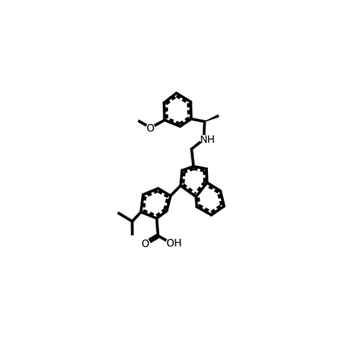 COc1cccc([C@@H](C)NCc2cc(-c3ccc(C(C)C)c(C(=O)O)c3)c3ccccc3c2)c1